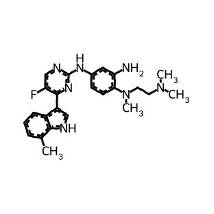 Cc1cccc2c(-c3nc(Nc4ccc(N(C)CCN(C)C)c(N)c4)ncc3F)c[nH]c12